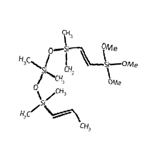 CC=C[Si](C)(C)O[Si](C)(C)O[Si](C)(C)C=C[Si](OC)(OC)OC